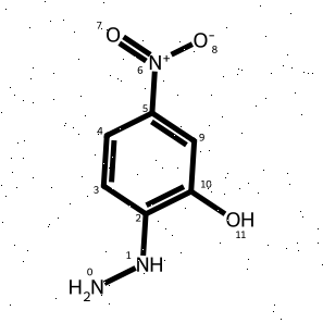 NNc1ccc([N+](=O)[O-])cc1O